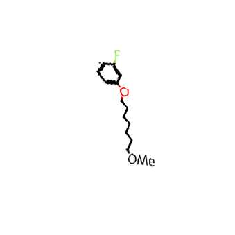 COCCCCCCCOc1cc[c]c(F)c1